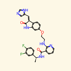 C[C@H](NC(=O)c1cccnc1NCCOc1ccc2c(c1)NC(=O)C2=Cc1cnc[nH]1)c1ccc(F)c(F)c1